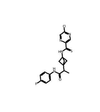 CC(C(=O)Nc1ccc(F)cc1)C12CC(NC(=S)c3cnc(Cl)cn3)(C1)C2